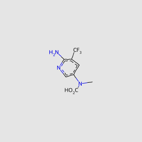 CN(C(=O)O)c1cnc(N)c(C(F)(F)F)c1